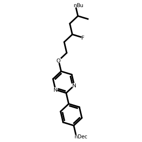 CCCCCCCCCCc1ccc(-c2ncc(OCCC(F)CC(C)CCCC)cn2)cc1